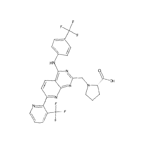 O=C(O)[C@@H]1CCCN1Cc1nc(Nc2ccc(C(F)(F)F)cc2)c2ccc(-c3ncccc3C(F)(F)F)nc2n1